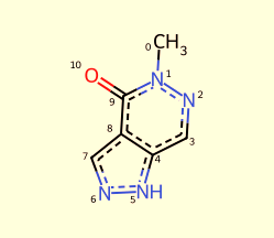 Cn1ncc2[nH]ncc2c1=O